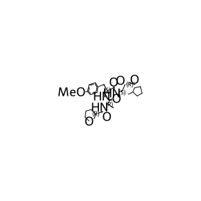 COc1ccc(C[C@H](NC(=O)[C@@H](C)NC(=O)[C@@H]2CCCOC2)C(=O)N[C@@H](CC2CCCC2)C(=O)[C@H]2CO2)cc1